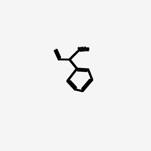 C=CC(NC)c1ccccc1